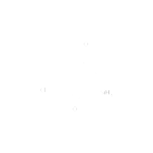 O=C1C=CC(=O)C(Cl)=C1.[SiH4]